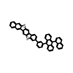 c1cc(-c2ccc3c(c2)sc2cc4c(cc23)sc2cc3ccccc3cc24)cc(-c2c3ccccc3c(-c3cccc4ccccc34)c3ccccc23)c1